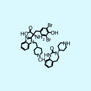 CN1CCC(Cn2c([C@](N)(Cc3cc(Br)c(O)c(Br)c3)C(=O)O)nc3ccccc32)CC1.O=C1Nc2ccccc2CCN1C1CCNCC1